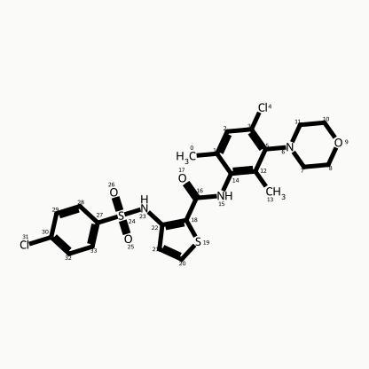 Cc1cc(Cl)c(N2CCOCC2)c(C)c1NC(=O)c1sccc1NS(=O)(=O)c1ccc(Cl)cc1